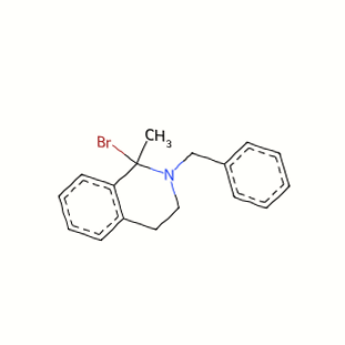 CC1(Br)c2ccccc2CCN1Cc1ccccc1